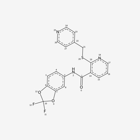 O=C(Nc1ccc2c(c1)OC(F)(F)O2)c1cccnc1SCc1ccncc1